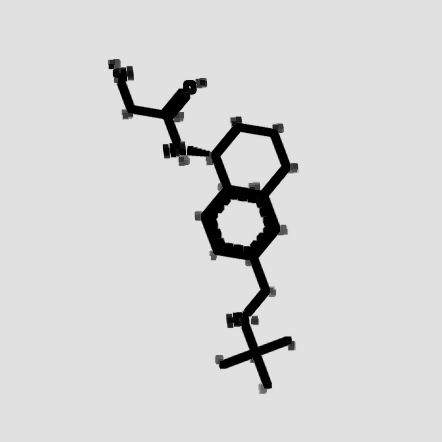 CC(C)(C)NCc1ccc2c(c1)CCC[C@H]2NC(=O)CS